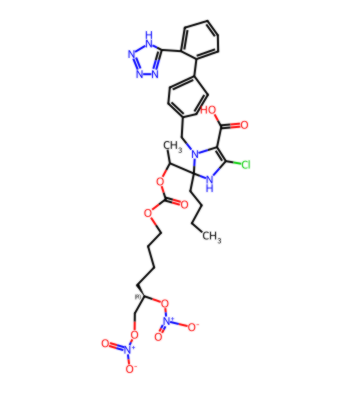 CCCCC1(C(C)OC(=O)OCCCC[C@H](CO[N+](=O)[O-])O[N+](=O)[O-])NC(Cl)=C(C(=O)O)N1Cc1ccc(-c2ccccc2-c2nnn[nH]2)cc1